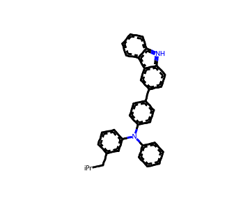 CC(C)Cc1cccc(N(c2ccccc2)c2ccc(-c3ccc4[nH]c5ccccc5c4c3)cc2)c1